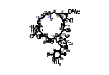 COc1cc2cc(c1Cl)N(C)C(=O)C[C@H](OC(=O)[C@H](C)N(C)C(=O)c1cc(F)c(N)cc1F)[C@]1(C)O[C@H]1[C@H](C)[C@@H]1C[C@](O)(C/C=C/C=C(\C)C2)NC(=O)O1